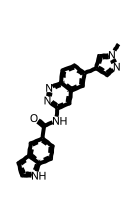 Cn1cc(-c2ccc3nnc(NC(=O)c4ccc5[nH]ccc5c4)cc3c2)cn1